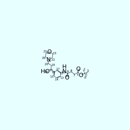 CC(C)(C)OC(=O)CCC(=O)Nc1cccc(C(O)CCN2CCOCC2)c1